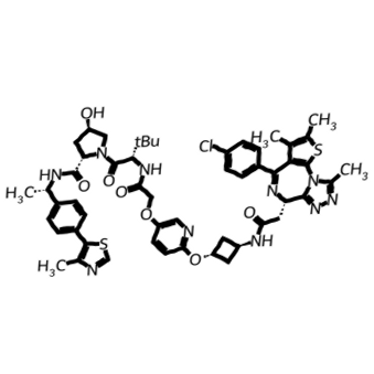 Cc1ncsc1-c1ccc([C@H](C)NC(=O)[C@@H]2C[C@@H](O)CN2C(=O)[C@@H](NC(=O)COc2ccc(O[C@H]3C[C@H](NC(=O)C[C@@H]4N=C(c5ccc(Cl)cc5)c5c(sc(C)c5C)-n5c(C)nnc54)C3)nc2)C(C)(C)C)cc1